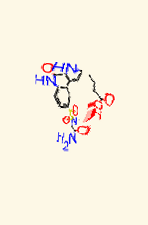 CCCC(=O)O.CN(CC(N)=O)S(=O)(=O)c1ccc2[nH]c(=O)c3[nH]ccc3c2c1